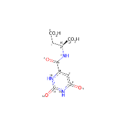 O=C(O)C[C@H](NC(=O)c1cc(=O)[nH]c(=O)[nH]1)C(=O)O